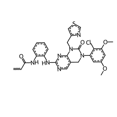 C=CC(=O)Nc1ccccc1Nc1ncc2c(n1)N(Cc1cscn1)C(=O)N(c1cc(OC)cc(OC)c1Cl)C2